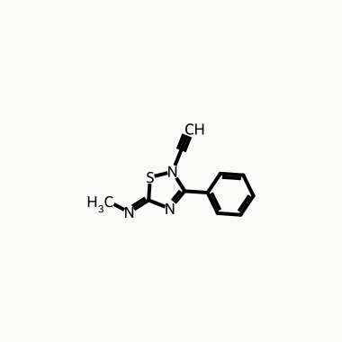 C#Cn1sc(=NC)nc1-c1ccccc1